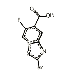 O=C(O)c1cc2nc(Br)nn2cc1F